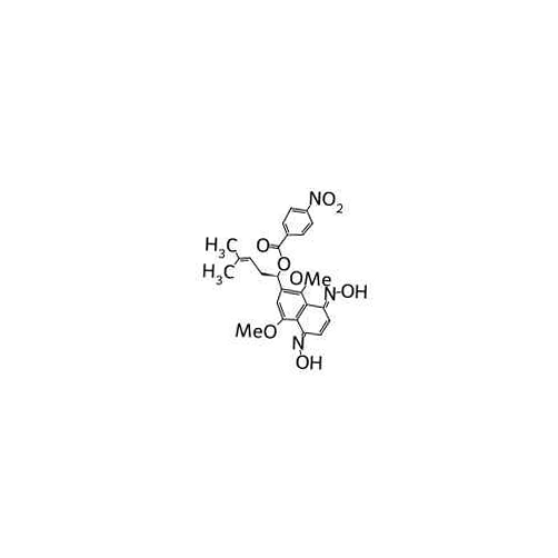 COc1cc([C@@H](CC=C(C)C)OC(=O)c2ccc([N+](=O)[O-])cc2)c(OC)c2c1/C(=N/O)C=C/C2=N\O